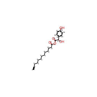 C#CCCCCCCCCCCC(=O)OC(=O)C(O)c1ccc(O)cc1